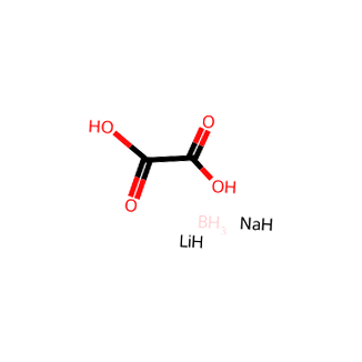 B.O=C(O)C(=O)O.[LiH].[NaH]